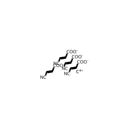 N#CC=CC(=O)[O-].N#CC=CC(=O)[O-].N#CC=CC(=O)[O-].N#CC=CC(=O)[O-].[C+4]